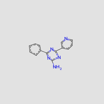 Nc1nc(-c2ccccc2)nc(-c2cccnc2)n1